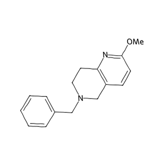 COc1ccc2c(n1)CCN(Cc1ccccc1)C2